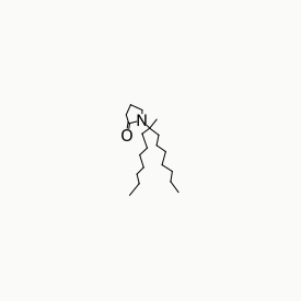 CCCCCCCC(C)(CCCCCCC)N1CCCC1=O